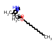 C=C(C)C(=O)OCCCCCCCCCCCCCCCCCC.C=Cc1ccccc1C=C.c1c[nH]cn1